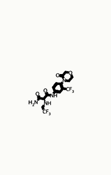 NC(=O)[C@H](NCC(F)(F)F)C(=O)Nc1ccc(N2CCOCC2=O)c(C(F)(F)F)c1